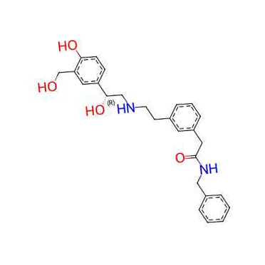 O=C(Cc1cccc(CCNC[C@H](O)c2ccc(O)c(CO)c2)c1)NCc1ccccc1